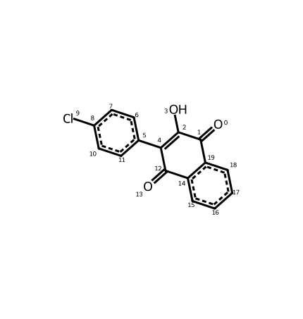 O=C1C(O)=C(c2ccc(Cl)cc2)C(=O)c2ccccc21